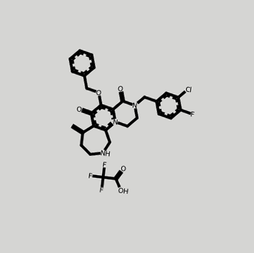 C=C1CCNCc2c1c(=O)c(OCc1ccccc1)c1n2CCN(Cc2ccc(F)c(Cl)c2)C1=O.O=C(O)C(F)(F)F